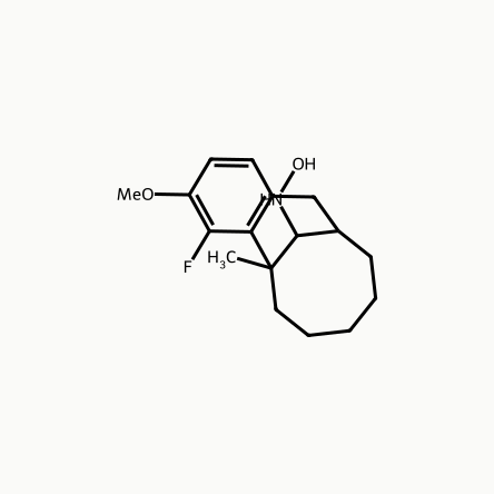 COc1ccc2c(c1F)C1(C)CCCCCC(C2)C1NO